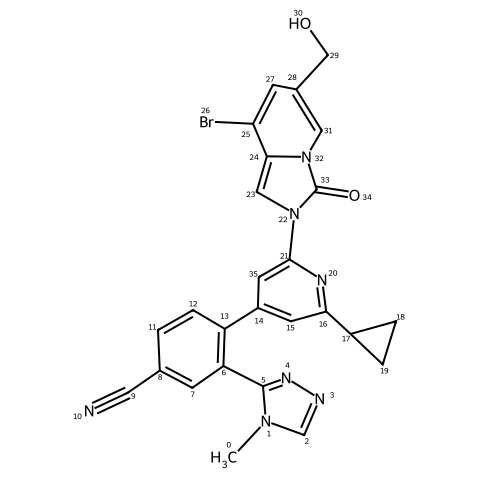 Cn1cnnc1-c1cc(C#N)ccc1-c1cc(C2CC2)nc(-n2cc3c(Br)cc(CO)cn3c2=O)c1